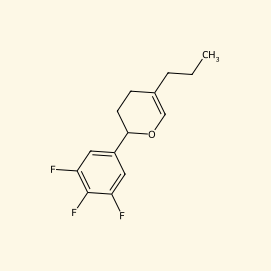 CCCC1=COC(c2cc(F)c(F)c(F)c2)CC1